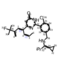 C=C(/C=C(\C=C/C)c1cc(=O)[nH]c(-c2cc(CNC(=C3CC3)C(C)C)ccc2Cl)n1)C(C)(C)F